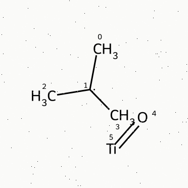 C[C](C)C.[O]=[Ti]